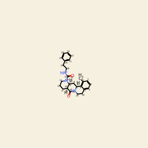 Cc1cccc2c1[C@@H]1C[C@H]3[C@H](CCCN3C(=O)NCCc3ccccc3)C(=O)N1CC2